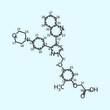 Cc1cc(OCc2nc(-c3ccc(N4CCOCC4)cc3)c(-c3cnc4ccccc4c3)s2)ccc1OCC(=O)O